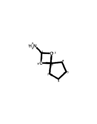 NC1OC2(CCCC2)O1